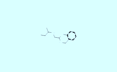 CCC(C)OCC1OCc2ccccc2O1